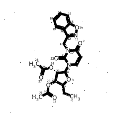 CCC1OC(n2ccc(=O)n(Cc3noc4ccccc34)c2=O)[C@@H](OC(C)=O)C1OC(C)=O